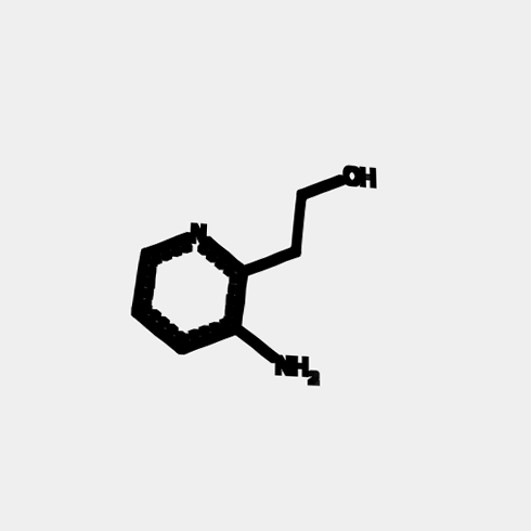 Nc1cccnc1CCO